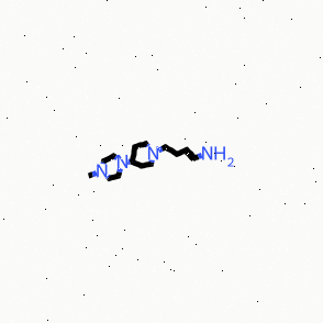 CN1CCN(C2CCN(CC/C=C/N)CC2)CC1